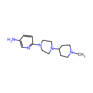 CN1CCC(N2CCN(c3ccc(N)cn3)CC2)CC1